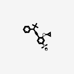 CC(C)(C)[C](C#Cc1ccc(P(C)(C)=O)cc1OC1CC1)c1ccccc1